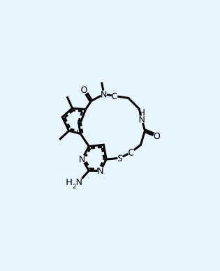 Cc1cc(C)c2cc1C(=O)N(C)CCCNC(=O)CCSc1cc-2nc(N)n1